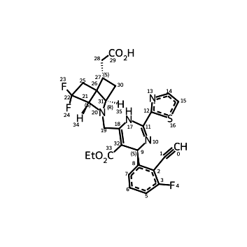 C#Cc1c(F)cccc1[C@@H]1N=C(c2nccs2)NC(CN2[C@@H]3C(F)(F)CC34[C@H](CC(=O)O)C[C@@H]24)=C1C(=O)OCC